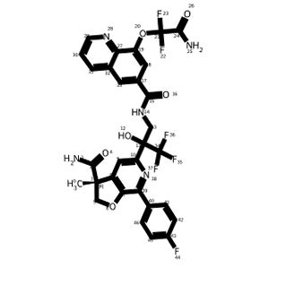 C[C@]1(C(N)=O)COc2c1cc(C(O)(CNC(=O)c1cc(OC(F)(F)C(N)=O)c3ncccc3c1)C(F)(F)F)nc2-c1ccc(F)cc1